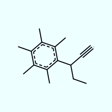 [C]#CC(CC)c1c(C)c(C)c(C)c(C)c1C